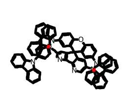 c1ccc2c(c1)c1ccccc1n2-c1ccc2c(c1)C1(c3cc(-n4c5ccccc5c5cc(-n6c7ccccc7c7ccccc76)ccc54)ccc3O2)c2cc(-n3c4ccccc4c4ccccc43)cnc2-c2ncc(-n3c4ccccc4c4ccccc43)cc21